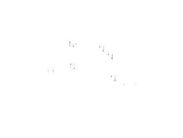 N#Cc1nnc(N2CC3CC(C2)O3)cc1N1C2CCC1COC2